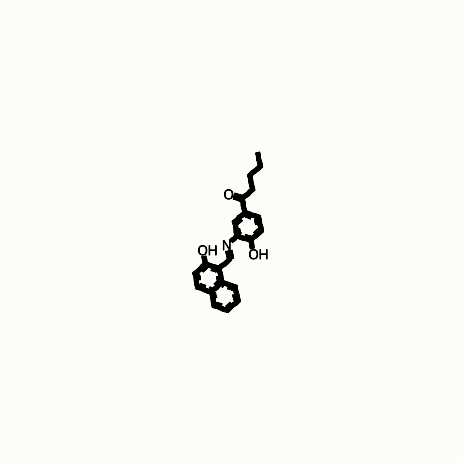 CCCCC(=O)c1ccc(O)c(N=Cc2c(O)ccc3ccccc23)c1